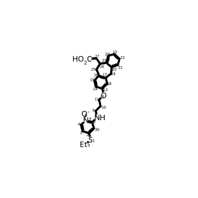 CCSc1cc[n+]([O-])c(NCCCOc2ccc3c(c2)Cc2ccccc2C(CC(=O)O)C3)c1